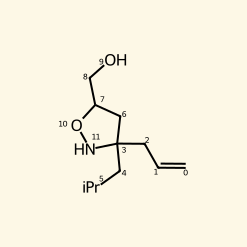 C=CCC1(CC(C)C)CC(CO)ON1